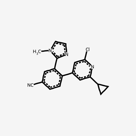 Cn1ccnc1-c1cc(C#N)ccc1-c1cc(Cl)nc(C2CC2)c1